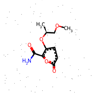 COC[C@H](C)Oc1ccc(=O)oc1C(N)=O